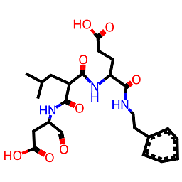 CC(C)CC(C(=O)NC(C=O)CC(=O)O)C(=O)NC(CCC(=O)O)C(=O)NCCc1ccccc1